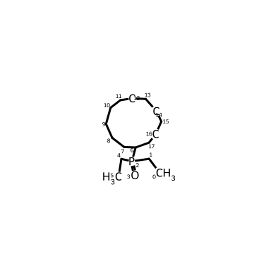 CCP(=O)(CC)C1CCCCCCCCCCC1